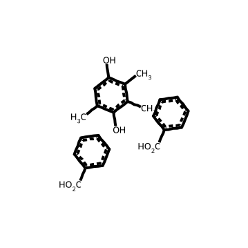 Cc1cc(O)c(C)c(C)c1O.O=C(O)c1ccccc1.O=C(O)c1ccccc1